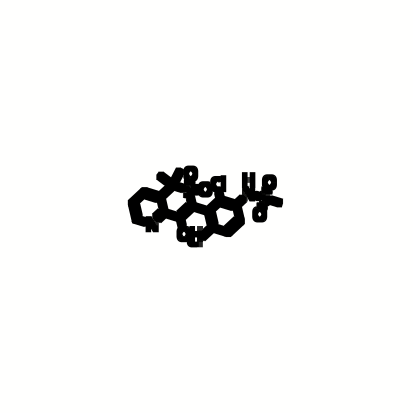 CC1(C)c2cccnc2C(O)=C(c2c(Cl)ccc(NS(C)(=O)=O)c2Cl)S1(=O)=O